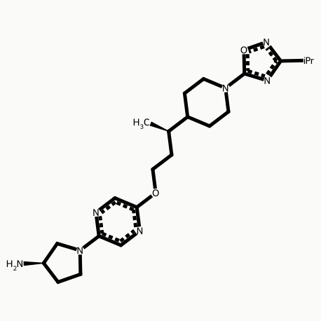 CC(C)c1noc(N2CCC([C@H](C)CCOc3cnc(N4CC[C@@H](N)C4)cn3)CC2)n1